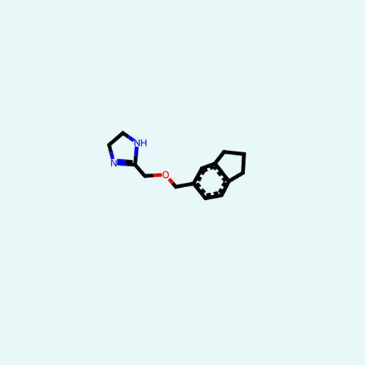 c1cc2c(cc1COCC1=NCCN1)CCC2